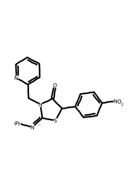 CC(C)/N=C1/SC(c2ccc([N+](=O)[O-])cc2)C(=O)N1Cc1ccccn1